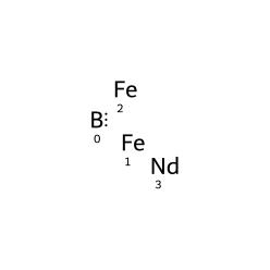 [B].[Fe].[Fe].[Nd]